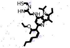 CC/C=C/C=C\C(=C(/C)OCC)c1cc(NCC(=N)/N=C\S)c2c(n1)c(C)c(CC)n2C(C)C